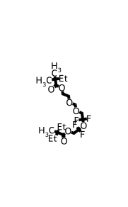 CCC(C)(C)C(=O)OCCOCOCC(F)(F)OC(F)(F)COC(=O)C(C)(CC)CC